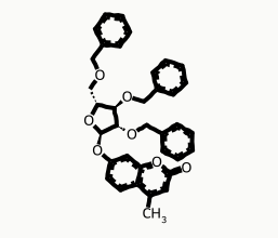 Cc1cc(=O)oc2cc(O[C@H]3O[C@H](COCc4ccccc4)[C@@H](OCc4ccccc4)[C@@H]3OCc3ccccc3)ccc12